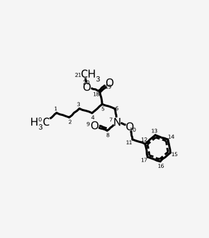 CCCCCC(CN(C=O)OCc1ccccc1)C(=O)OC